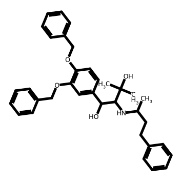 CC(CCc1ccccc1)NC(C(O)c1ccc(OCc2ccccc2)c(OCc2ccccc2)c1)C(C)(C)O